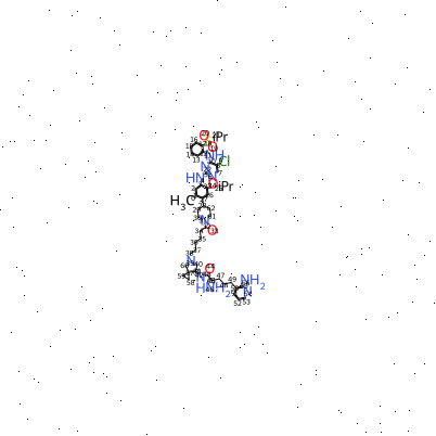 Cc1cc(Nc2ncc(Cl)c(Nc3ccccc3S(=O)(=O)C(C)C)n2)c(OC(C)C)cc1C1CCN(C(=O)CCCCCN2C[C@H](NC(=O)[C@@H](N)CCCc3cccnc3N)C3(CC3)C2)CC1